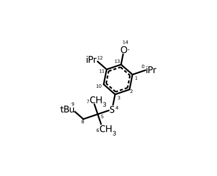 CC(C)c1cc(SC(C)(C)CC(C)(C)C)cc(C(C)C)c1[O]